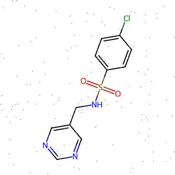 O=S(=O)(NCc1cncnc1)c1ccc(Cl)cc1